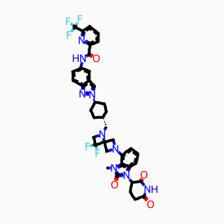 Cn1c(=O)n(C2CCC(=O)NC2=O)c2cccc(N3CC4(C3)N(C[C@H]3CC[C@H](n5cc6cc(NC(=O)c7cccc(C(F)(F)F)n7)ccc6n5)CC3)CC4(F)F)c21